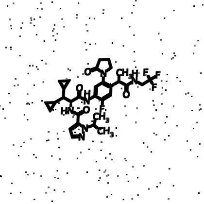 CC(C(=O)NCC(F)(F)F)c1cc(F)c(NC(=O)[C@@H](NC(=O)c2ccnn2C(C)C)C(C2CC2)C2CC2)cc1N1CCCC1=O